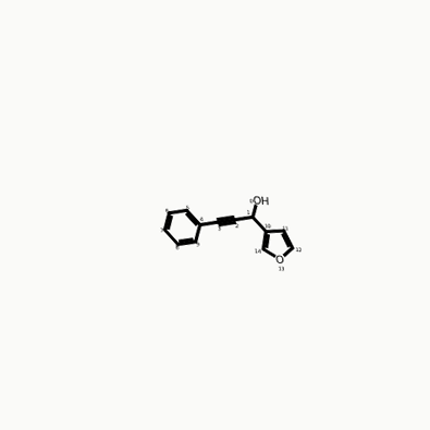 OC(C#Cc1ccccc1)c1ccoc1